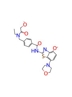 CCN(Cc1ccc(C(=O)Nc2nc3c(OC)ccc(N4CCOCC4)c3s2)cc1)C(=O)COC